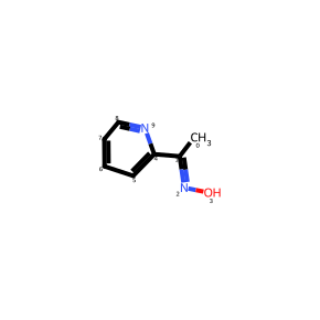 C/C(=N\O)c1ccccn1